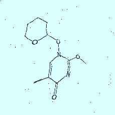 COc1nc(=O)c(C)cn1OC1CCCCO1